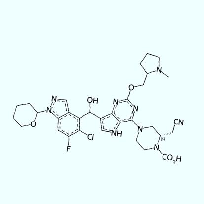 CN1CCCC1COc1nc(N2CCN(C(=O)O)[C@@H](CC#N)C2)c2[nH]cc(C(O)c3c(Cl)c(F)cc4c3cnn4C3CCCCO3)c2n1